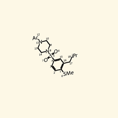 CSc1ccc(S(=O)(=O)N2CCN(C(C)=O)CC2)cc1CC(C)C